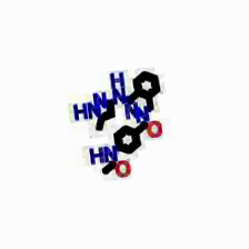 CC(=O)Nc1ccc(C(=O)N2Cc3ccccc3C(Nc3cc(C)[nH]n3)=N2)cc1